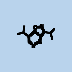 CC(C)c1noc2c(C(C)C)cnnc12